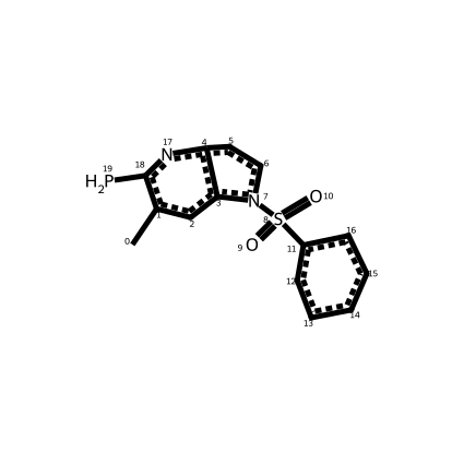 Cc1cc2c(ccn2S(=O)(=O)c2ccccc2)nc1P